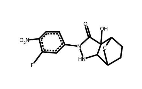 O=C1N(c2ccc([N+](=O)[O-])c(F)c2)NC2C3CCC(CC3)C12O